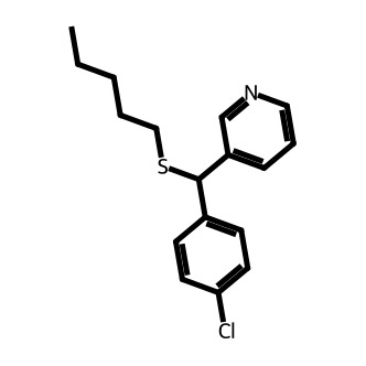 CCCCCSC(c1ccc(Cl)cc1)c1cccnc1